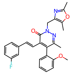 COc1ccccc1-c1c(C)nn(Cc2nc(C)oc2C)c(=O)c1C=Cc1cccc(F)c1